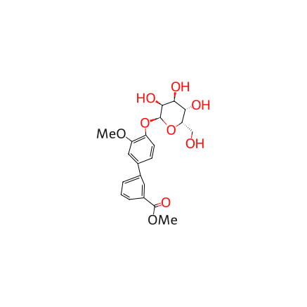 COC(=O)c1cccc(-c2ccc(O[C@@H]3O[C@@H](CO)[C@@H](O)[C@H](O)[C@@H]3O)c(OC)c2)c1